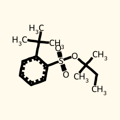 CCC(C)(C)OS(=O)(=O)c1ccccc1C(C)(C)C